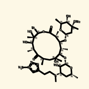 Bn1cc(CCN(C)[C@H]2C[C@@H](C)O[C@@H](O[C@@H]3[C@@H](C)[C@H](O[C@H]4C[C@@](C)(OC)[C@@H](O)[C@H](C)O4)[C@@H](C)C(=O)O[C@H](CC)[C@@](C)(O)[C@H](O)[C@@H](C)C(=O)[C@H](C)C[C@@]3(C)O)[C@@H]2O)nn1